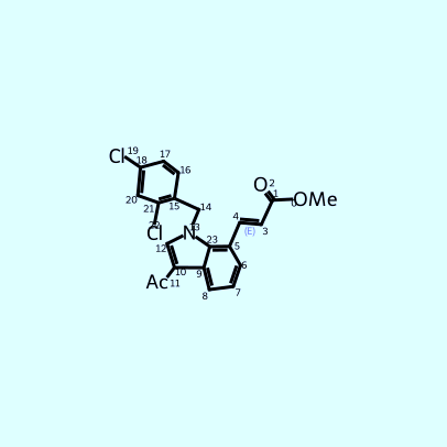 COC(=O)/C=C/c1cccc2c(C(C)=O)cn(Cc3ccc(Cl)cc3Cl)c12